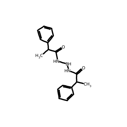 CC(C(=O)NBNC(=O)C(C)c1ccccc1)c1ccccc1